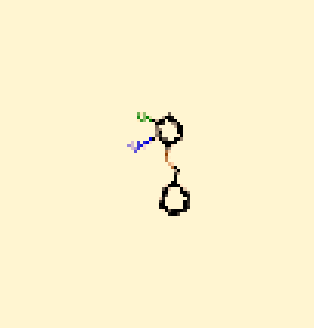 Nc1c(Cl)cccc1SCc1ccccc1